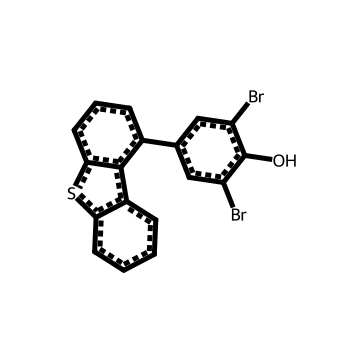 Oc1c(Br)cc(-c2cccc3sc4ccccc4c23)cc1Br